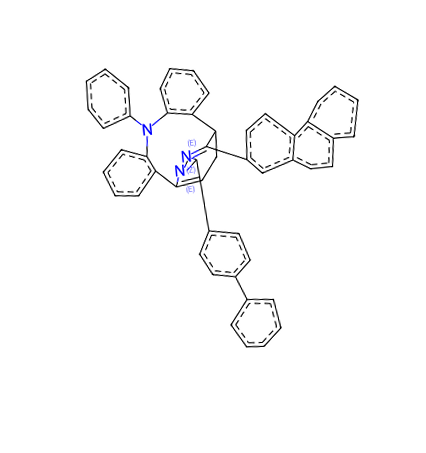 C1=C2/N=C(c3ccc(-c4ccccc4)cc3)\N=C(\c3ccc4c(ccc5ccccc54)c3)C(C/1)c1ccccc1N(c1ccccc1)c1ccccc12